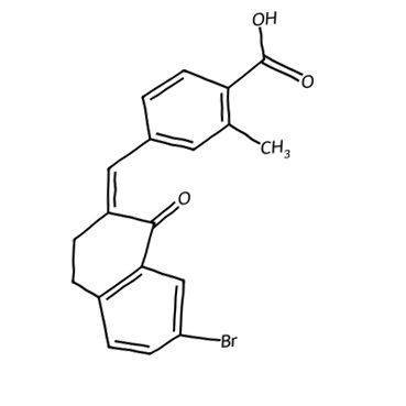 Cc1cc(C=C2CCc3ccc(Br)cc3C2=O)ccc1C(=O)O